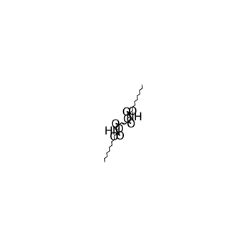 CCCCCCCCCOC(=O)NOC(=O)/C=C/C(=O)ONC(=O)OCCCCCCCCC